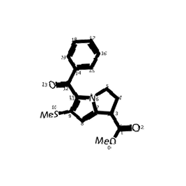 COC(=O)C1CCn2c1cc(SC)c2C(=O)c1ccccc1